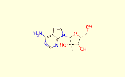 C[C@@]1(O)C(O)[C@@H](CO)O[C@H]1n1ccc2c(N)ncnc21